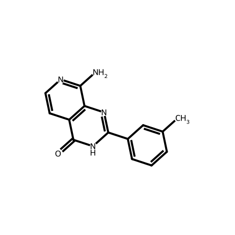 Cc1cccc(-c2nc3c(N)nccc3c(=O)[nH]2)c1